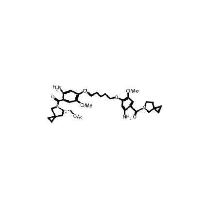 COc1cc(C(=O)N2CCC3(CC3)C2)c(N)cc1OCCCCCOc1cc(N)c(C(=O)N2CC3(CC3)C[C@H]2COC(C)=O)cc1OC